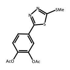 [CH2]Sc1nnc(-c2ccc(OC(C)=O)c(OC(C)=O)c2)s1